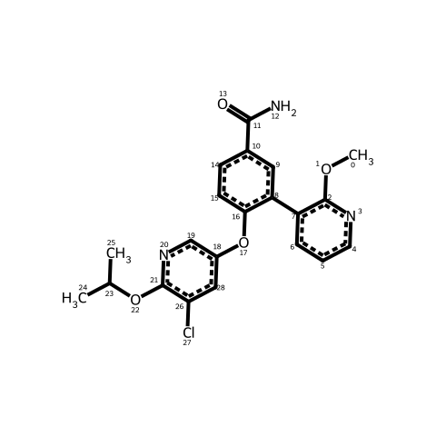 COc1ncccc1-c1cc(C(N)=O)ccc1Oc1cnc(OC(C)C)c(Cl)c1